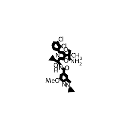 COc1cc(C(=O)NCC(O)(c2cc3c(c(-c4cccc(Cl)c4Cl)n2)OC[C@]3(C)C(N)=O)C2CC2)cc2cn(C3CC3)nc12